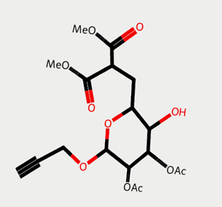 C#CCOC1OC(CC(C(=O)OC)C(=O)OC)C(O)C(OC(C)=O)C1OC(C)=O